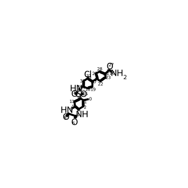 Cc1cc2[nH]c(=O)c(=O)[nH]c2cc1S(=O)(=O)Nc1ccc(-c2ccc(C(N)=O)cc2)c(Cl)c1